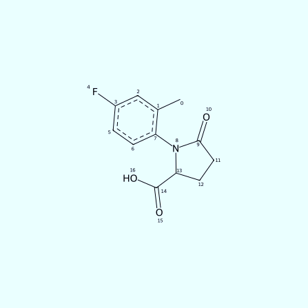 Cc1cc(F)ccc1N1C(=O)CCC1C(=O)O